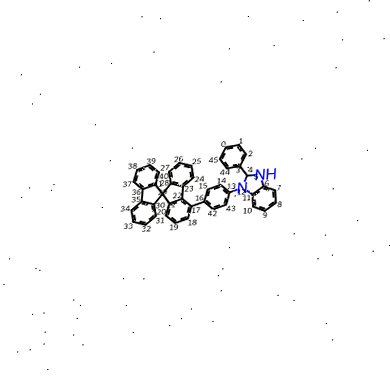 c1ccc(C2Nc3ccccc3N2c2ccc(-c3cccc4c3-c3ccccc3C43c4ccccc4-c4ccccc43)cc2)cc1